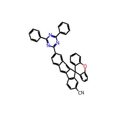 N#Cc1ccc2c(c1)C1(c3ccccc3Oc3ccccc31)c1cc3cc(-c4nc(-c5ccccc5)nc(-c5ccccc5)n4)ccc3cc1-2